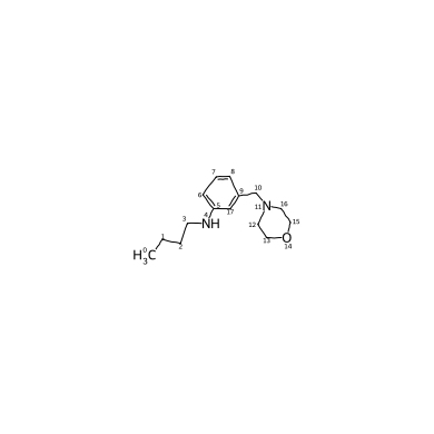 CCCCNc1cccc(CN2CCOCC2)c1